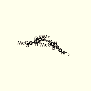 COC(=O)c1ccc(C2=CN3C(=O)c4cc(OC)c(OCCCCCOc5cc6c(cc5OC)C(=O)N5C=C(c7ccc(N)cc7)CC5C=N6)cc4N=C[C@@H]3C2)cc1